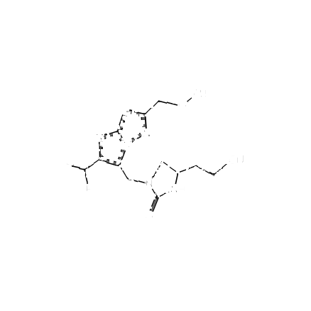 CCCC1CN(Cc2c(C(F)F)nc3sc(COC)nn23)C(=O)N1